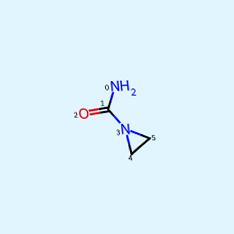 NC(=O)N1CC1